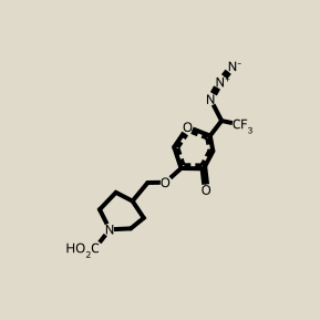 [N-]=[N+]=NC(c1cc(=O)c(OCC2CCN(C(=O)O)CC2)co1)C(F)(F)F